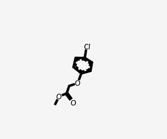 COC(=O)COc1ccc(Cl)cc1